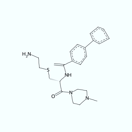 C=C(N[C@@H](CSCCN)C(=O)N1CCN(C)CC1)c1ccc(-c2ccccc2)cc1